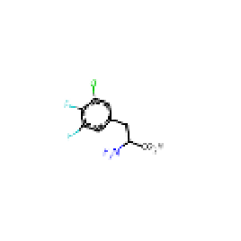 NC(Cc1cc(F)c(F)c(Cl)c1)C(=O)O